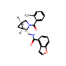 O=C(NC[C@@H]1[C@H]2C[C@H]2CN1C(=O)c1ccccc1C(F)(F)F)c1cccc2occc12